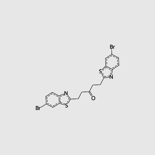 O=C(CCc1nc2ccc(Br)cc2s1)CCc1nc2ccc(Br)cc2s1